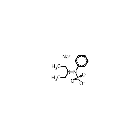 CCN(CC)N(c1ccccc1)S(=O)(=O)[O-].[Na+]